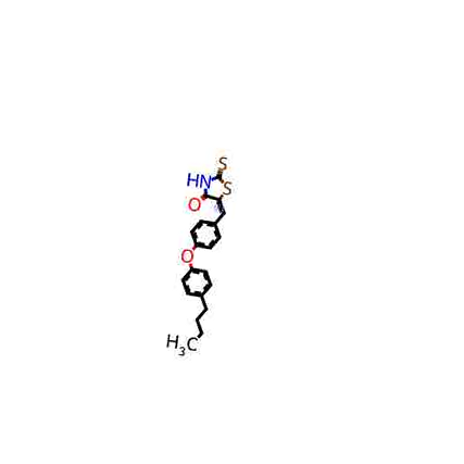 CCCCc1ccc(Oc2ccc(/C=C3/SC(=S)NC3=O)cc2)cc1